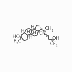 C[C@H](CCC[C@H](O)C(F)(F)F)[C@H]1CC[C@H]2[C@@H]3CC[C@H]4C[C@](O)(C(F)(F)F)CC[C@@H]4[C@H]3CC[C@]12C